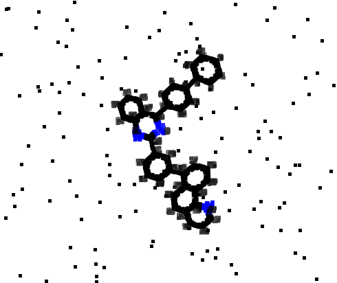 c1ccc(-c2ccc(-c3nc(-c4cccc(-c5cccc6c5ccc5cccnc56)c4)nc4ccccc34)cc2)cc1